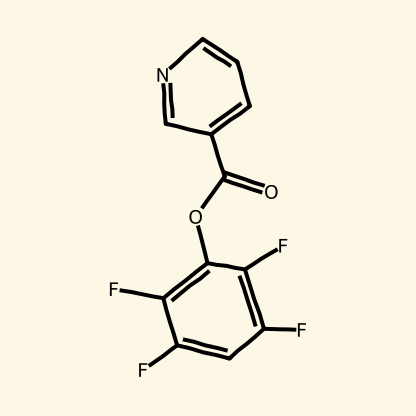 O=C(Oc1c(F)c(F)cc(F)c1F)c1cccnc1